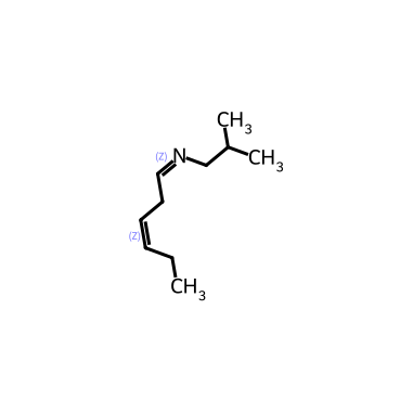 CC/C=C\C/C=N\CC(C)C